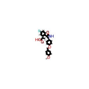 COc1ccc(COc2ccc([C@@H]3NC(=O)[C@]3(CCC(=O)O)c3ccc(F)cc3)cc2)cc1